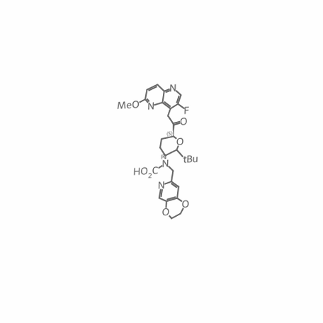 COc1ccc2ncc(F)c(CC(=O)[C@@H]3CC[C@@H](N(Cc4cc5c(cn4)OCCO5)C(=O)O)C(C(C)(C)C)O3)c2n1